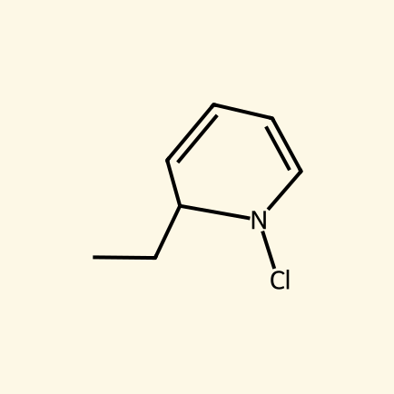 CCC1C=CC=CN1Cl